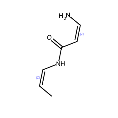 C/C=C\NC(=O)/C=C\N